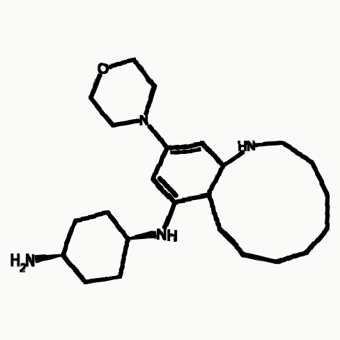 N[C@H]1CC[C@@H](NC2=CC(N3CCOCC3)=CC3NCCCCCCCCC23)CC1